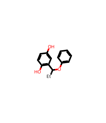 CCC(Oc1ccccc1)c1cc(O)ccc1O